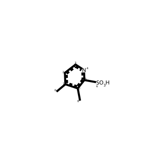 Cc1ccnc(S(=O)(=O)O)c1C